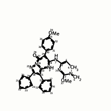 C=N/C(=N\C(=C/C)Nc1[nH]c2c(-c3ccccc3)c(-c3ccccc3)nn2c(=O)c1-c1ccc(OC)cc1)OC